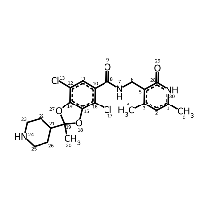 Cc1cc(C)c(CNC(=O)c2cc(Cl)c3c(c2Cl)OC(C)(C2CCNCC2)O3)c(=O)[nH]1